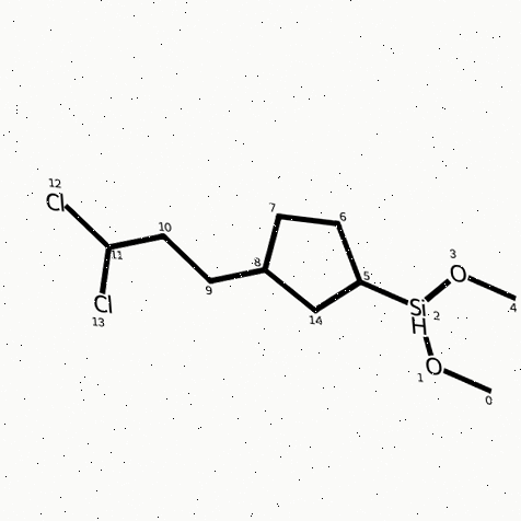 CO[SiH](OC)C1CCC(CCC(Cl)Cl)C1